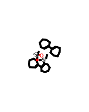 C1=C(C2=CCCCCC2)CCCCC1.CC[Si](C)(O[Si](C)(C)C)C1=C(C2=CCCCCC2)CCCCC1